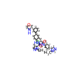 Cn1cncc1-c1ccc(NC(=O)[C@H](Cc2cc(-c3cccc([C@H]4COCCN4)c3)ccc2Cl)NC(=O)c2ccnn2C)cc1